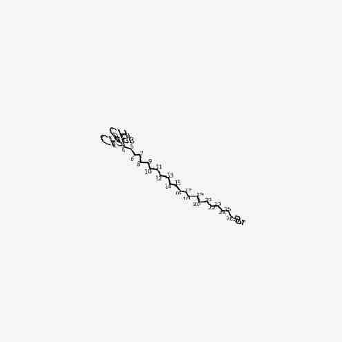 C[Si](Cl)(Cl)CCCCCCCCCCCCCCCCCCCCCCCBr